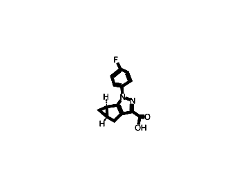 O=C(O)c1nn(-c2ccc(F)cc2)c2c1C[C@H]1C[C@@H]21